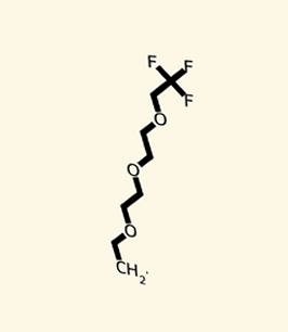 [CH2]COCCOCCOCC(F)(F)F